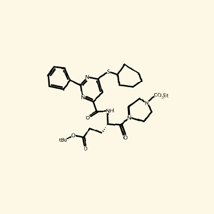 CCOC(=O)N1CCN(C(=O)[C@H](CCC(=O)OC(C)(C)C)NC(=O)c2cc(SC3CCCCC3)nc(-c3ccccc3)n2)CC1